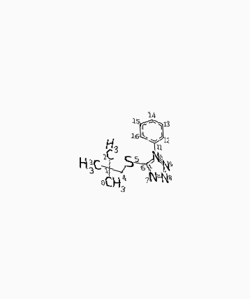 CC(C)(C)CSc1nnnn1-c1ccccc1